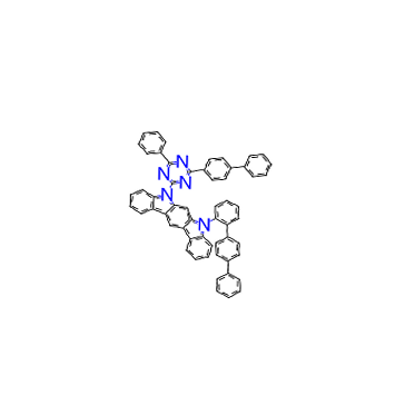 c1ccc(-c2ccc(-c3nc(-c4ccccc4)nc(-n4c5ccccc5c5cc6c7ccccc7n(-c7ccccc7-c7ccc(-c8ccccc8)cc7)c6cc54)n3)cc2)cc1